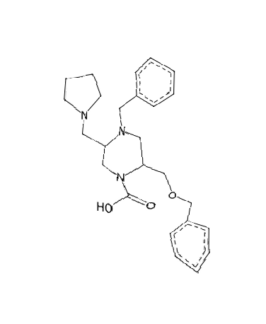 O=C(O)N1CC(CN2CCCC2)N(Cc2ccccc2)CC1COCc1ccccc1